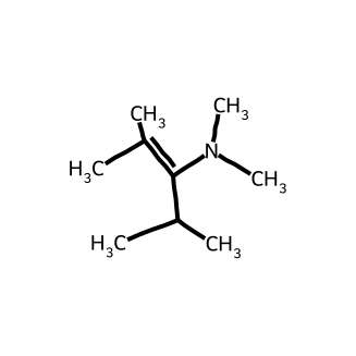 CC(C)=C(C(C)C)N(C)C